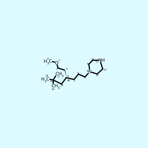 COCC[C@H](CCCN1CCNCC1)CC(C)(C)C